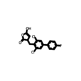 O=C1OC(O)=CC1Cc1c(Cl)cc(-c2ccc(F)cc2)cc1Cl